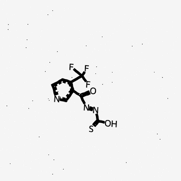 O=C(N=NC(O)=S)c1cnccc1C(F)(F)F